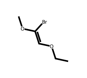 CCOC=C(Br)OC